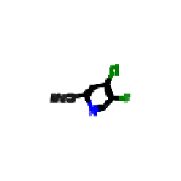 COc1cc(Cl)c(F)cn1